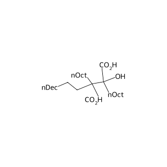 CCCCCCCCCCCCC(CCCCCCCC)(C(=O)O)C(O)(CCCCCCCC)C(=O)O